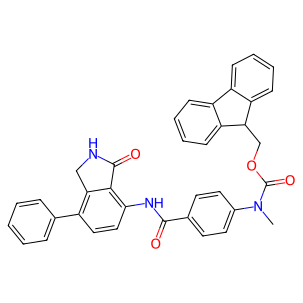 CN(C(=O)OCC1c2ccccc2-c2ccccc21)c1ccc(C(=O)Nc2ccc(-c3ccccc3)c3c2C(=O)NC3)cc1